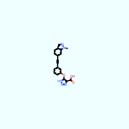 Cn1ncc2ccc(C#Cc3cccc(Oc4[nH]nnc4C(=O)O)c3)cc21